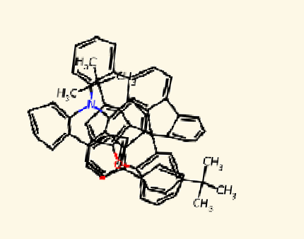 CC(C)(C)c1ccc2c(c1)C1(c3cc(C(C)(C)C)ccc3O2)c2ccccc2-c2ccc(-c3ccccc3N(c3ccccc3-c3ccc(-c4ccccc4)cc3)c3cccc4ccccc34)cc21